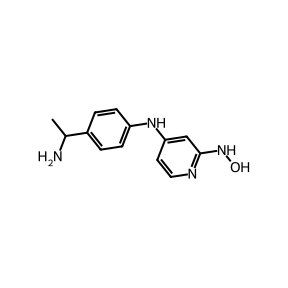 CC(N)c1ccc(Nc2ccnc(NO)c2)cc1